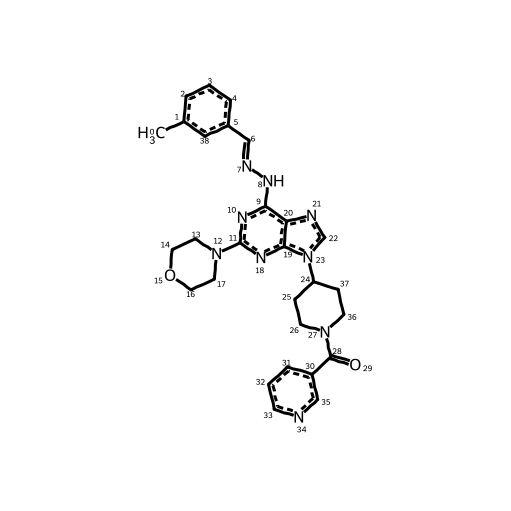 Cc1cccc(/C=N/Nc2nc(N3CCOCC3)nc3c2ncn3C2CCN(C(=O)c3cccnc3)CC2)c1